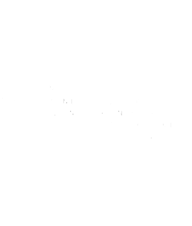 Cc1ccc(S(=O)(=O)NN=C2CC3(C2)CN(C(=O)OC(C)(C)C)C3)cc1